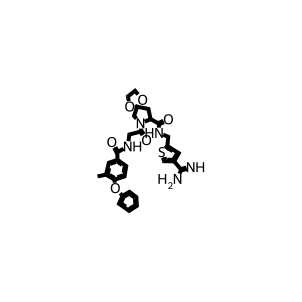 Cc1cc(C(=O)NCC(=O)N2CC3(CC2C(=O)NCc2cc(C(=N)N)cs2)OCCO3)ccc1Oc1ccccc1